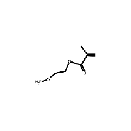 C=C(C)C(=O)OCCOP